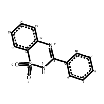 O=S1(=O)NC(c2ccccc2)=Nc2ccccc21